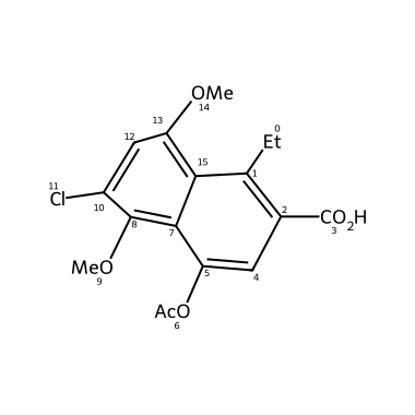 CCc1c(C(=O)O)cc(OC(C)=O)c2c(OC)c(Cl)cc(OC)c12